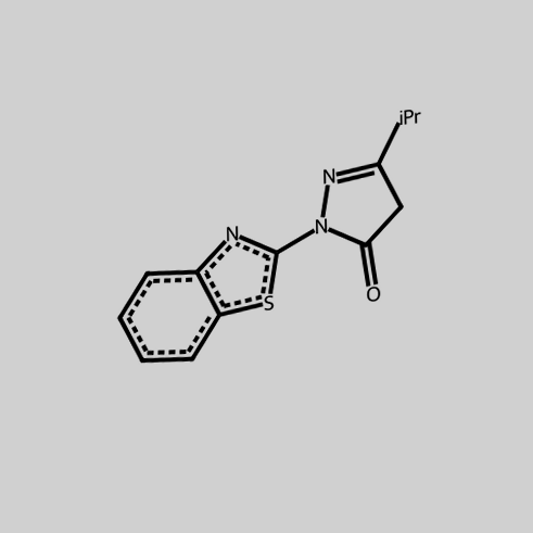 CC(C)C1=NN(c2nc3ccccc3s2)C(=O)C1